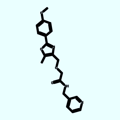 COc1ccc(-c2nc(COCC(=O)NCc3cccnc3)c(C)o2)cc1